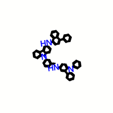 c1ccc(-c2ccc(Nc3ccc4c(c3)c3ccccc3n4-c3cccc(CNc4ccc5c(c4)c4ccccc4n5-c4ccccc4)c3)c3ccccc23)cc1